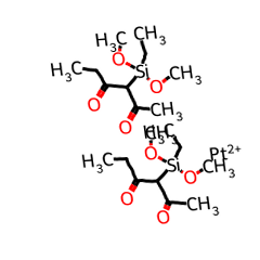 CCC(=O)C(C(C)=O)[Si](CC)(OC)OC.CCC(=O)C(C(C)=O)[Si](CC)(OC)OC.[Pt+2]